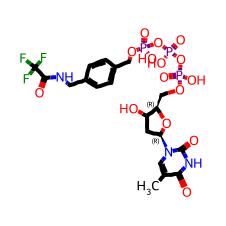 Cc1cn([C@H]2CC(O)[C@@H](COP(=O)(O)OP(=O)(O)OP(=O)(O)OCc3ccc(CNC(=O)C(F)(F)F)cc3)O2)c(=O)[nH]c1=O